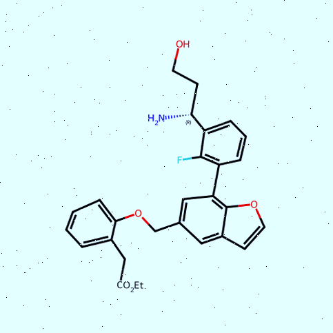 CCOC(=O)Cc1ccccc1OCc1cc(-c2cccc([C@H](N)CCO)c2F)c2occc2c1